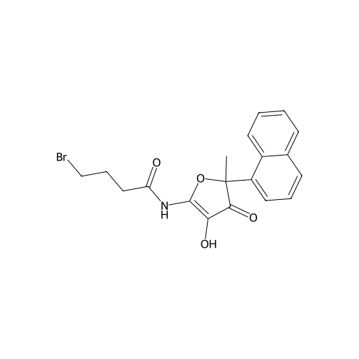 CC1(c2cccc3ccccc23)OC(NC(=O)CCCBr)=C(O)C1=O